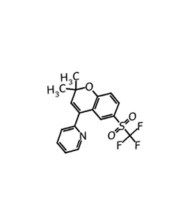 CC1(C)C=C(c2ccccn2)c2cc(S(=O)(=O)C(F)(F)F)ccc2O1